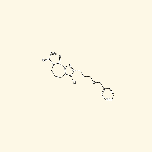 CCn1c(CCCOCc2ccccc2)nc2c1CCCC(C(=O)OC)C2=O